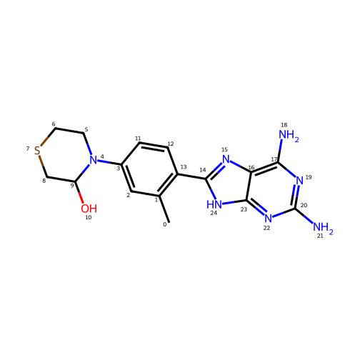 Cc1cc(N2CCSCC2O)ccc1-c1nc2c(N)nc(N)nc2[nH]1